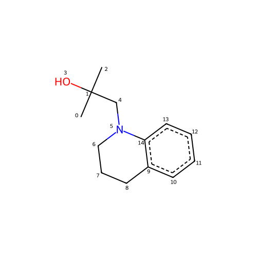 CC(C)(O)CN1CCCc2ccccc21